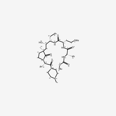 CSCC[C@H](NC(=O)[C@@H](NC(=O)OC(C)(C)C)C(C)C)C(=O)N[C@@H](CC(C)C)[C@@H](O)C[C@]1(C)CCN([C@H](C(=O)N2CCN(C)CC2)C(C)C)C1=O